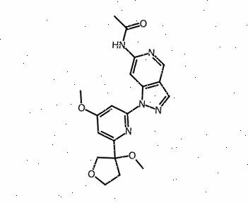 COc1cc(-n2ncc3cnc(NC(C)=O)cc32)nc(C2(OC)CCOC2)c1